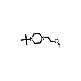 CC(C)(C)N1CCN(CCOI)CC1